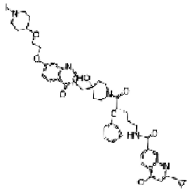 O=C(NCCC[C@H](Cc1ccccc1)C(=O)N1CCC(O)(Cn2cnc3cc(OCCOC4CCN(I)CC4)ccc3c2=O)CC1)c1ccc2c(Cl)cc(C3CC3)nc2c1